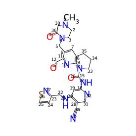 CN1CCN(Cc2cc3c(nc2C=O)N(C(=O)Nc2cc(NCc4ccsn4)c(C#N)cn2)CCC3)C(=O)C1